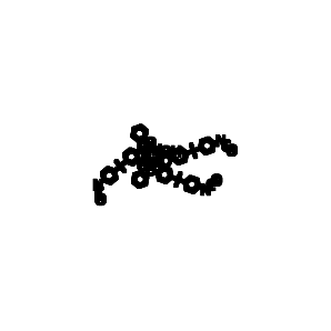 CC(C)(c1ccc(N=C=O)cc1)c1ccc(OP2(O)=NP(Oc3ccccc3)(Oc3ccc(C(C)(C)c4ccc(N=C=O)cc4)cc3)=NP(Oc3ccccc3)(Oc3ccc(C(C)(C)c4ccc(N=C=O)cc4)cc3)=N2)cc1